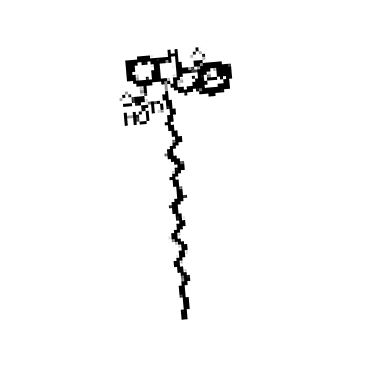 CCCCCCCCCCCCCCCCC[N+]1(Cc2ccccc2)C(S(=O)(=O)O)=Nc2cccc(S(=O)(=O)O)c21